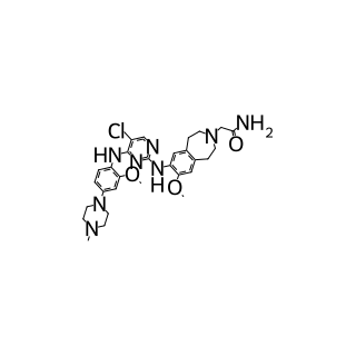 COc1cc2c(cc1Nc1ncc(Cl)c(Nc3ccc(N4CCN(C)CC4)cc3OC)n1)CCN(CC(N)=O)CC2